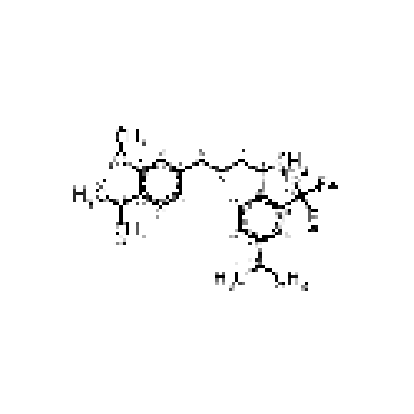 COc1cc(CCCC(C)c2ccc(C(C)C)cc2C(F)(F)F)ccc1C(C)C